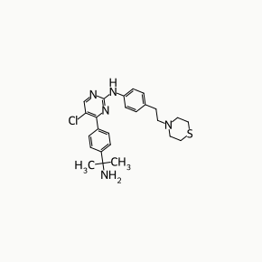 CC(C)(N)c1ccc(-c2nc(Nc3ccc(CCN4CCSCC4)cc3)ncc2Cl)cc1